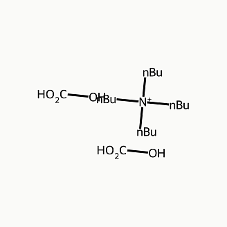 CCCC[N+](CCCC)(CCCC)CCCC.O=C(O)O.O=C(O)O